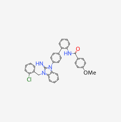 COc1ccc(C(=O)Nc2ccccc2-c2ccc(-n3c(=N)n(Cc4ccccc4Cl)c4ccccc43)cc2)cc1